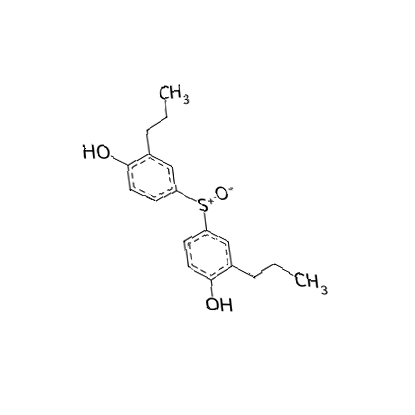 CCCc1cc([S+]([O-])c2ccc(O)c(CCC)c2)ccc1O